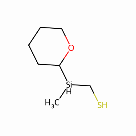 C[SiH](CS)C1CCCCO1